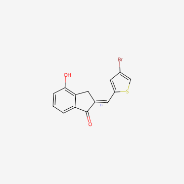 O=C1/C(=C/c2cc(Br)cs2)Cc2c(O)cccc21